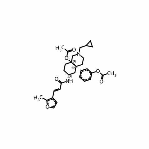 CC(=O)Oc1cccc([C@@]23CCN(CC4CC4)C[C@@]2(OC(C)=O)CC[C@@H](NC(=O)C=Cc2ccoc2C)C3)c1